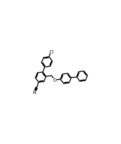 N#Cc1ccc(-c2ccc(Cl)cc2)c(COc2ccc(-c3[c]cccc3)cc2)c1